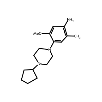 COc1cc(N)c(C)cc1N1CCN(C2CCCC2)CC1